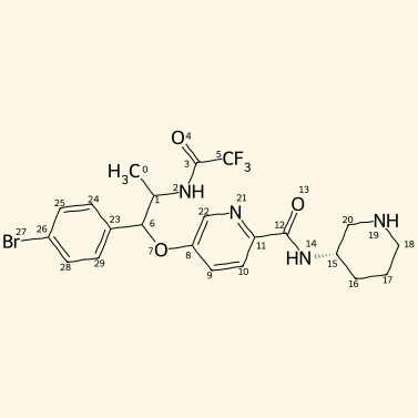 CC(NC(=O)C(F)(F)F)C(Oc1ccc(C(=O)N[C@H]2CCCNC2)nc1)c1ccc(Br)cc1